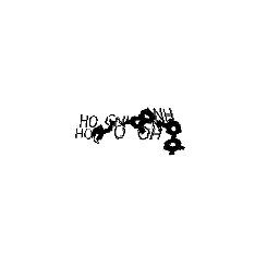 Cc1ccc(-c2cccc(-c3nc4c(ccc5cc(C(=O)N[C@@H](Cc6ccc(O)cc6)C(=O)O)cc(O)c54)[nH]3)c2)cc1C